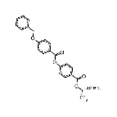 CCCCC[C@@H](OC(=O)c1ccc(OC(=O)c2ccc(OCc3ccccc3)cc2)cc1)C(F)(F)F